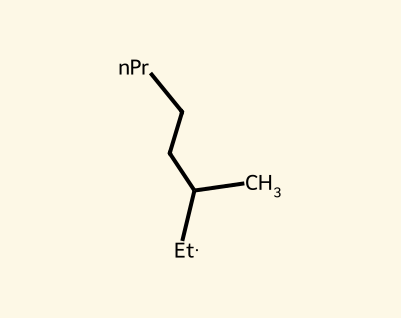 [CH2]CCCCC(C)[CH]C